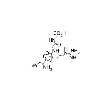 CC(C)C[C@H](N)C(=O)N[C@@H](CCCNC(=N)N)C(=O)NCC(=O)NCC(=O)O